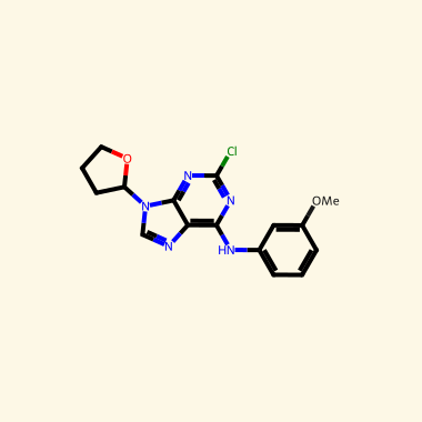 COc1cccc(Nc2nc(Cl)nc3c2ncn3C2CCCO2)c1